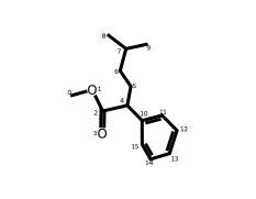 COC(=O)C(CCC(C)C)c1ccccc1